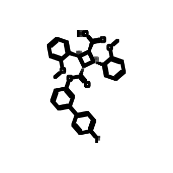 COc1ccccc1[C@H]1[C@H](C(=O)O)[C@H](c2ccccc2OC)[C@H]1C(=O)Oc1cccc(-c2ccc(F)cc2)c1